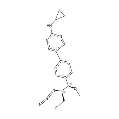 CO[C@H](c1ccc(-c2cnc(NC3CC3)nc2)cc1)[C@@H](CF)N=[N+]=[N-]